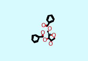 O=C(OC[C@H]1OCC(=O)C1OC(=O)c1ccccc1)c1ccccc1